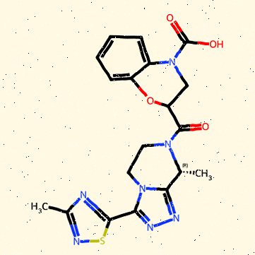 Cc1nsc(-c2nnc3n2CCN(C(=O)C2CN(C(=O)O)c4ccccc4O2)[C@@H]3C)n1